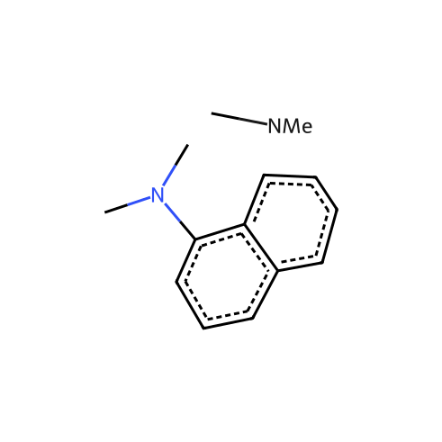 CN(C)c1cccc2ccccc12.CNC